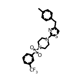 Cc1ccc(Cc2csc(N3CCN(S(=O)(=O)c4cccc(C(F)(F)F)c4)CC3)n2)cc1